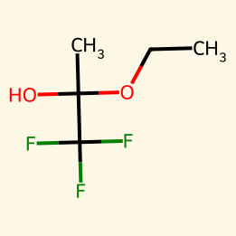 CCOC(C)(O)C(F)(F)F